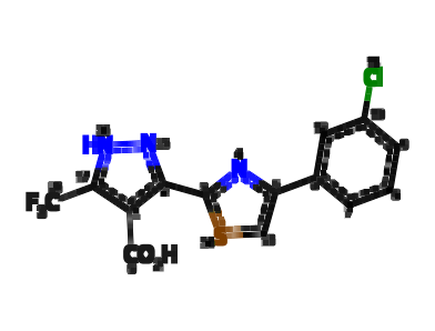 O=C(O)c1c(-c2nc(-c3cccc(Cl)c3)cs2)n[nH]c1C(F)(F)F